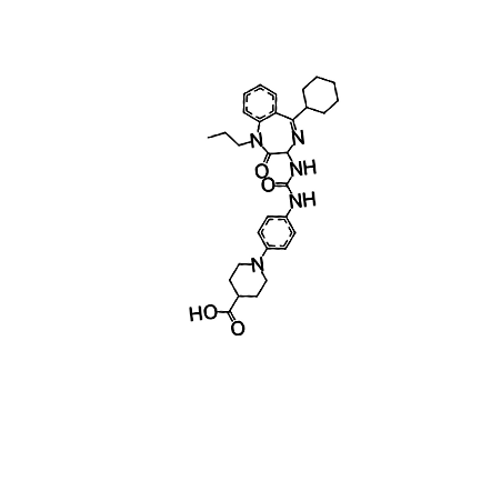 CCCN1C(=O)C(NC(=O)Nc2ccc(N3CCC(C(=O)O)CC3)cc2)N=C(C2CCCCC2)c2ccccc21